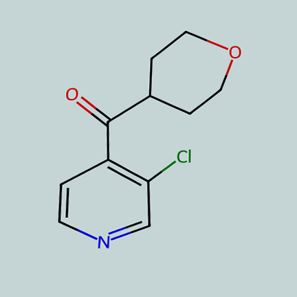 O=C(c1ccncc1Cl)C1CCOCC1